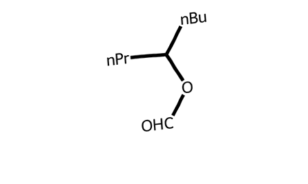 CCCCC(CCC)OC=O